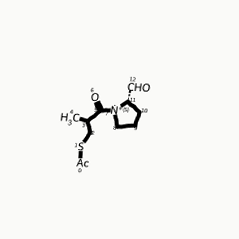 CC(=O)SCC(C)C(=O)[N+]1CCC[C@H]1C=O